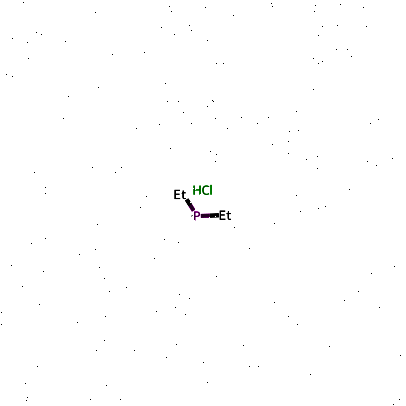 CC[P]CC.Cl